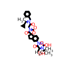 C[C@@H](C1CC1)N(Cc1ccccc1)C(=O)CN1C(=O)OC2(CCc3cc(NC(=O)C(CO)N(C(=O)O)C(C)(C)C)ccc32)C1=O